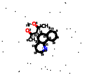 CC(=O)CC(C)=O.[Ir].c1ccc2c(c1)ccc1cccnc12